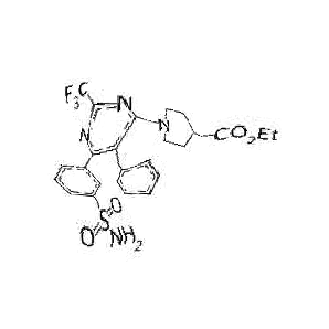 CCOC(=O)C1CCN(c2nc(C(F)(F)F)nc(-c3cccc(S(N)(=O)=O)c3)c2-c2ccccc2)CC1